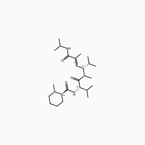 C/C(=C\[C@H](C(C)C)N(C)C(=O)[C@@H](NC(=O)[C@H]1CCCCN1C)C(C)C)C(=O)NC(C)C